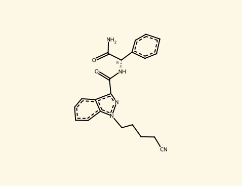 N#CCCCCn1nc(C(=O)N[C@H](C(N)=O)c2ccccc2)c2ccccc21